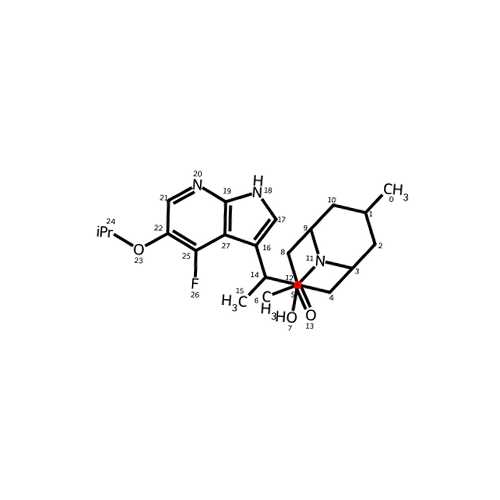 CC1CC2CC(C)(O)CC(C1)N2C(=O)C(C)c1c[nH]c2ncc(OC(C)C)c(F)c12